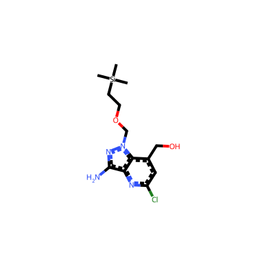 C[Si](C)(C)CCOCn1nc(N)c2nc(Cl)cc(CO)c21